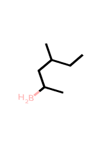 BC(C)CC(C)CC